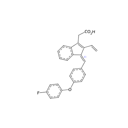 C=CC1=C(CC(=O)O)c2ccccc2/C1=C\c1ccc(Oc2ccc(F)cc2)cc1